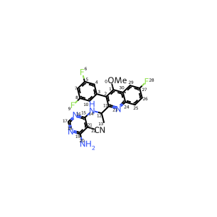 COc1c(-c2cc(F)cc(F)c2)c(C(C)Nc2ncnc(N)c2C#N)nc2ccc(F)cc12